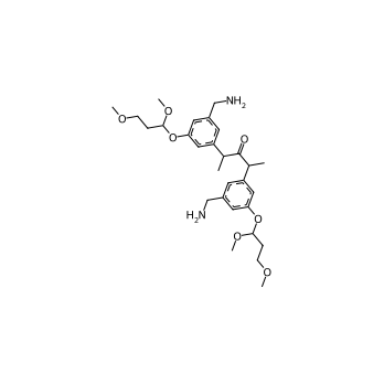 COCCC(OC)Oc1cc(CN)cc(C(C)C(=O)C(C)c2cc(CN)cc(OC(CCOC)OC)c2)c1